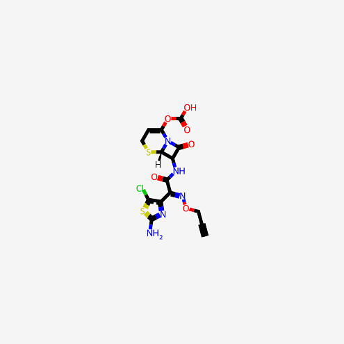 C#CCON=C(C(=O)NC1C(=O)N2C(OC(=O)O)=CCS[C@@H]12)c1nc(N)sc1Cl